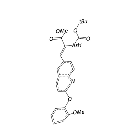 COC(=O)C(=Cc1ccc2nc(Oc3ccccc3OC)ccc2c1)[AsH]C(=O)OC(C)(C)C